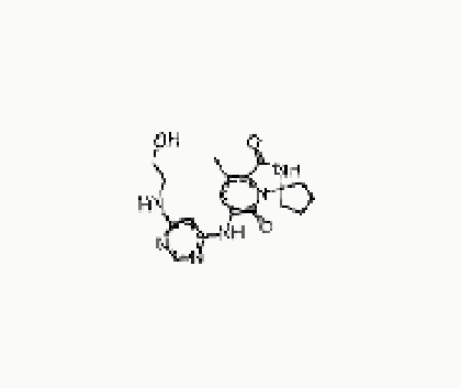 Cc1cc(Nc2cc(NCCO)ncn2)c(=O)n2c1C(=O)NC21CCCC1